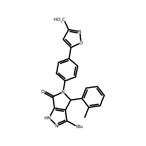 Cc1ccccc1C1c2c(C(C)(C)C)n[nH]c2C(=O)N1c1ccc(-c2cc(C(=O)O)no2)cc1